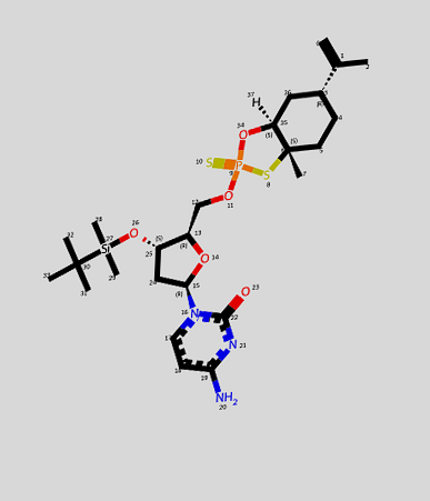 C=C(C)[C@@H]1CC[C@]2(C)SP(=S)(OC[C@H]3O[C@@H](n4ccc(N)nc4=O)C[C@@H]3O[Si](C)(C)C(C)(C)C)O[C@H]2C1